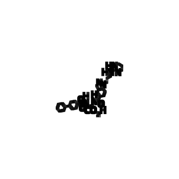 O=C(NCC(NS(=O)(=O)c1ccc(-c2ccccc2)cc1)C(=O)O)c1ccc2c(cnn2CCCNC2N=CCCN2)c1